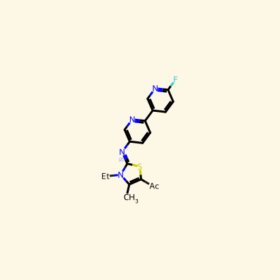 CCn1c(C)c(C(C)=O)s/c1=N\c1ccc(-c2ccc(F)nc2)nc1